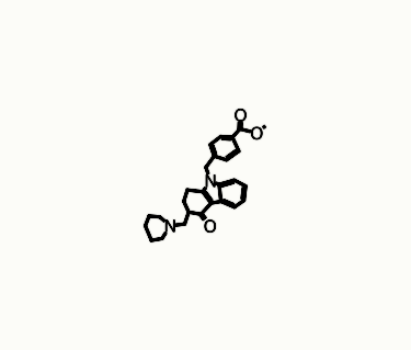 COC(=O)c1ccc(Cn2c3c(c4ccccc42)C(=O)C(CN2CCCCC2)CC3)cc1